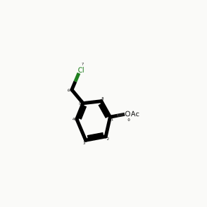 CC(=O)Oc1cccc(CCl)c1